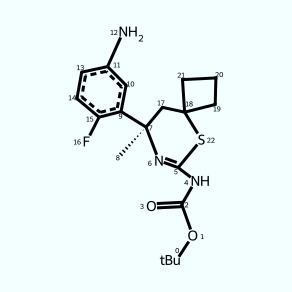 CC(C)(C)OC(=O)NC1=N[C@@](C)(c2cc(N)ccc2F)CC2(CCC2)S1